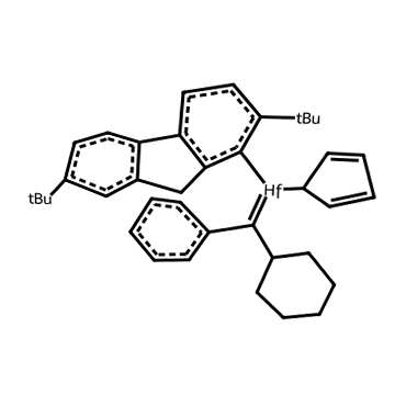 CC(C)(C)c1ccc2c(c1)Cc1c-2ccc(C(C)(C)C)[c]1[Hf](=[C](c1ccccc1)C1CCCCC1)[CH]1C=CC=C1